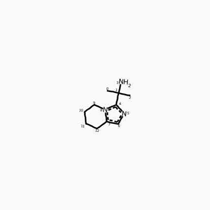 CC(C)(N)c1ncc2n1CCCC2